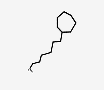 CCCCCCC[C]1CCCCCC1